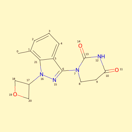 Cc1cccc2c(N3CCC(=O)NC3=O)nn(C3COC3)c12